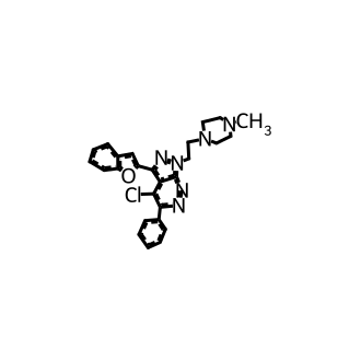 CN1CCN(CCn2nc(-c3cc4ccccc4o3)c3c(Cl)c(-c4ccccc4)nnc32)CC1